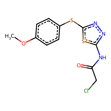 COc1ccc(Sc2nnc(NC(=O)CCl)s2)cc1